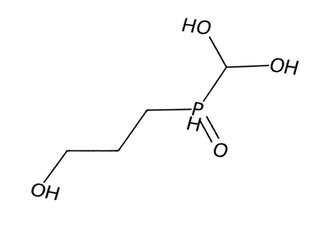 O=[PH](CCCO)C(O)O